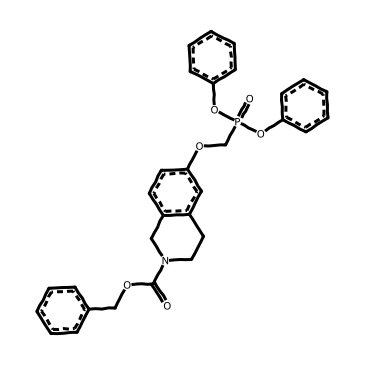 O=C(OCc1ccccc1)N1CCc2cc(OCP(=O)(Oc3ccccc3)Oc3ccccc3)ccc2C1